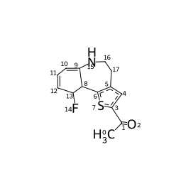 CC(=O)c1cc2c(s1)C1C(=CC=CC1F)NCC2